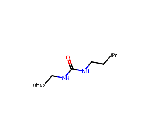 CCCCCCCNC(=O)NCCC(C)C